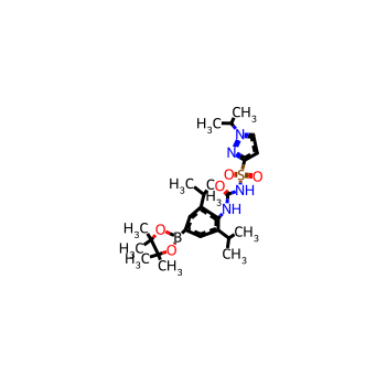 CC(C)c1cc(B2OC(C)(C)C(C)(C)O2)cc(C(C)C)c1NC(=O)NS(=O)(=O)c1ccn(C(C)C)n1